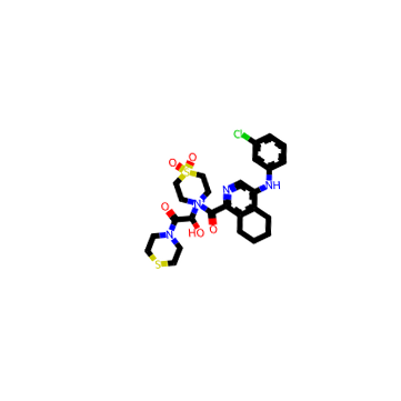 O=C(C(O)[N+]1(C(=O)c2ncc(Nc3cccc(Cl)c3)c3c2CCCC3)CCS(=O)(=O)CC1)N1CCSCC1